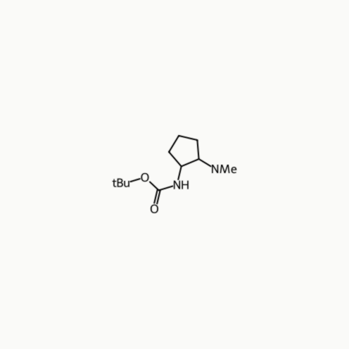 CNC1CCCC1NC(=O)OC(C)(C)C